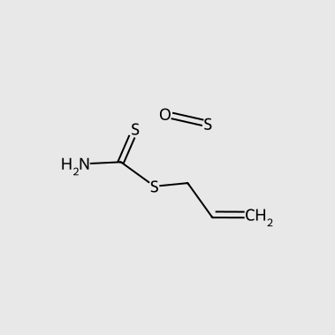 C=CCSC(N)=S.O=S